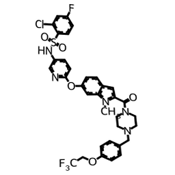 Cn1c(C(=O)N2CCN(Cc3ccc(OCC(F)(F)F)cc3)CC2)cc2ccc(Oc3ccc(NS(=O)(=O)c4ccc(F)cc4Cl)cn3)cc21